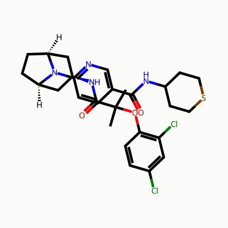 CC(C)(Oc1ccc(Cl)cc1Cl)C(=O)N[C@H]1C[C@H]2CC[C@@H](C1)N2c1ccc(C(=O)NC2CCSCC2)cn1